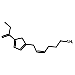 C=C(CC)C1=CC=C(C/C=C\CCCN)C1